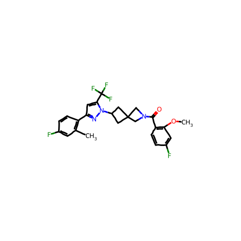 COc1cc(F)ccc1C(=O)N1CC2(CC(n3nc(-c4ccc(F)cc4C)cc3C(F)(F)F)C2)C1